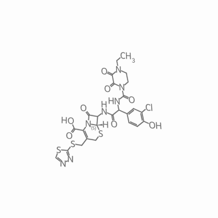 CCN1CCN(C(=O)NC(C(=O)NC2C(=O)N3C(C(=O)O)=C(CSc4nncs4)CS[C@@H]23)c2ccc(O)c(Cl)c2)C(=O)C1=O